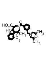 CC1CN(Cc2cccc(C(=O)N3C=C(C(=O)O)c4[nH]c5ccccc5c4C(C)(C)C3)c2)CC(C)O1